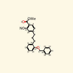 COC(=O)c1ccc(CCCc2ccccc2OCc2ccccc2)cc1C#N